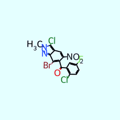 Cn1nc2c(Br)c(C(=O)c3cc(F)ccc3Cl)c([N+](=O)[O-])cc2c1Cl